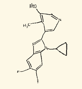 COc1cncc(-c2nc3cc(F)c(F)cc3n2C2CC2)c1C